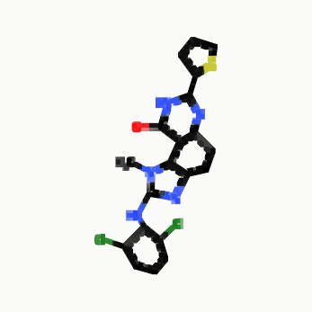 Cn1c(Nc2c(Cl)cccc2Cl)nc2ccc3nc(-c4cccs4)[nH]c(=O)c3c21